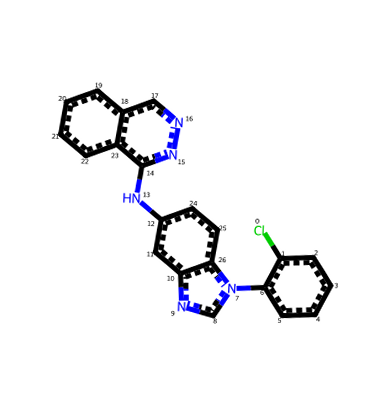 Clc1ccccc1-n1cnc2cc(Nc3nncc4ccccc34)ccc21